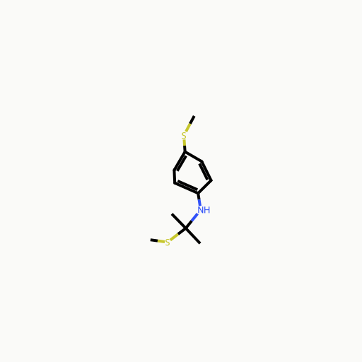 CSc1ccc(NC(C)(C)SC)cc1